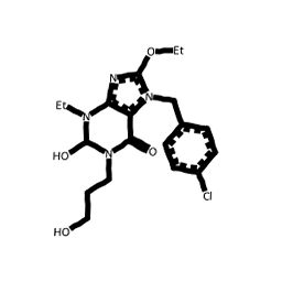 CCOc1nc2c(n1Cc1ccc(Cl)cc1)C(=O)N(CCCO)C(O)N2CC